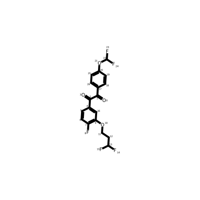 O=C(C(=O)c1ccc(F)c(OCCC(F)F)c1)c1ccc(OC(F)F)cc1